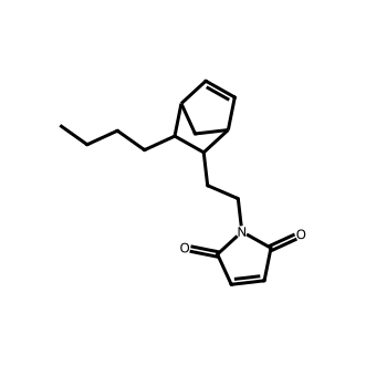 CCCCC1C2C=CC(C2)C1CCN1C(=O)C=CC1=O